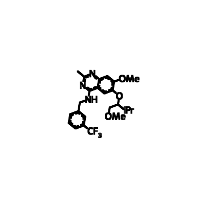 COCC(Oc1cc2c(NCc3cccc(C(F)(F)F)c3)nc(C)nc2cc1OC)C(C)C